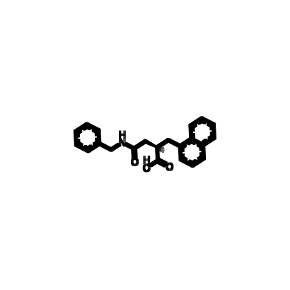 O=C(C[C@@H](Cc1cccc2ccccc12)C(=O)O)NCc1ccccc1